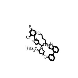 O=C(O)[C@@H]1C[C@H](Oc2cccc(-c3cccc4nn(CCCCO)cc34)c2)CN1C(=O)c1cnn(-c2ccc(F)cc2Cl)c1